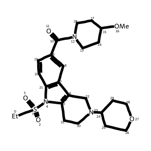 CCS(=O)(=O)n1c2c(c3cc(C(=O)N4CCC(OC)CC4)ccc31)CN(C1CCOCC1)CC2